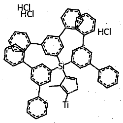 CC1=[C]([Ti])CC=C1[Si](c1cc(-c2ccccc2)cc(-c2ccccc2)c1)(c1cc(-c2ccccc2)cc(-c2ccccc2)c1)c1cc(-c2ccccc2)cc(-c2ccccc2)c1.Cl.Cl.Cl